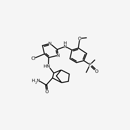 COc1cc(P(C)(C)=O)ccc1Nc1ncc(Cl)c(NC2C3CCC(C3)C2C(N)=O)n1